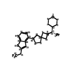 CC(C)[C@@H](C1CCOCC1)N1CC2(CCN(c3ncnc4sc(CC(F)(F)F)cc34)C2)C1